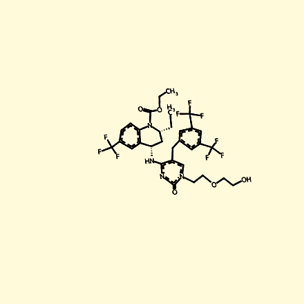 CCOC(=O)N1c2ccc(C(F)(F)F)cc2[C@@H](Nc2nc(=O)n(CCOCCO)cc2Cc2cc(C(F)(F)F)cc(C(F)(F)F)c2)C[C@H]1CC